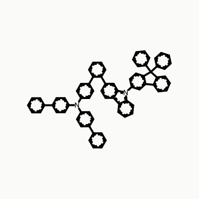 c1ccc(-c2ccc(N(c3ccc(-c4ccccc4)cc3)c3ccc(-c4ccccc4-c4ccc5c6ccccc6n(-c6ccc7c(c6)-c6ccccc6C7(c6ccccc6)c6ccccc6)c5c4)cc3)cc2)cc1